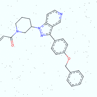 C=CC(=O)N1CCCC(n2nc(-c3ccc(OCc4ccccc4)cc3)c3cnccc32)C1